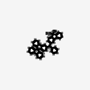 CC1(C)c2ccccc2-c2cc(N(c3ccccc3)c3ccc4c(c3)-c3ccccc3C43c4ccccc4-c4ccccc43)ccc21